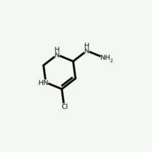 NNC1C=C(Cl)NCN1